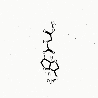 CC(C)(C)OC(=O)CNC(=O)O[C@H]1CO[C@@H]2C(O[N+](=O)[O-])CO[C@H]12